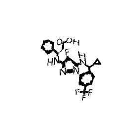 O=C(O)C[C@H](Nc1ncnc(NC(c2ccc(C(F)(F)F)cc2)C2CC2)c1F)c1ccccc1